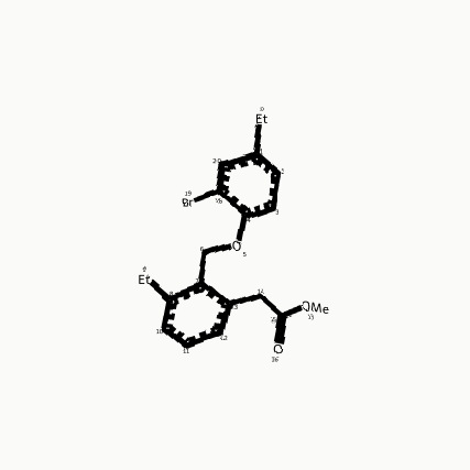 CCc1ccc(OCc2c(CC)cccc2CC(=O)OC)c(Br)c1